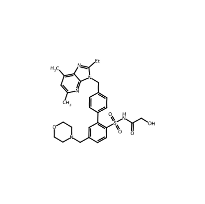 CCc1nc2c(C)cc(C)nc2n1Cc1ccc(-c2cc(CN3CCOCC3)ccc2S(=O)(=O)NC(=O)CO)cc1